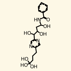 O=C(NC(O)CC(O)C(O)c1cnc(CCCC(O)(O)O)cn1)c1ccccc1